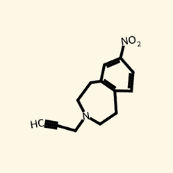 C#CCN1CCc2ccc([N+](=O)[O-])cc2CC1